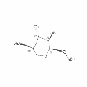 CCCCO[C@H]1OC[C@@H](O)[C@H](O)[C@H]1O